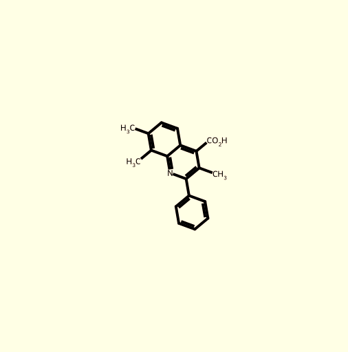 Cc1ccc2c(C(=O)O)c(C)c(-c3ccccc3)nc2c1C